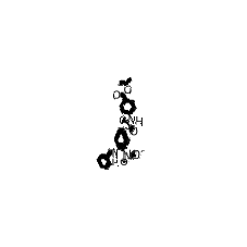 CC(C)OC(=O)C1CCC(NS(=O)(=O)c2ccc(NCc3ccccc3)c([N+](=O)[O-])c2)CC1